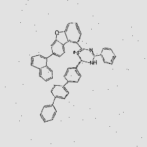 c1ccc(C2=NC(c3cccc4oc5cc(-c6cccc7ccccc67)ccc5c34)=NC(c3ccc(-c4ccc(-c5ccccc5)cc4)cc3)N2)cc1